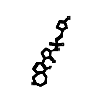 O=C1[C@@H](NS(=O)(=O)/C=C/C2CC=C(Cl)S2)CCN1c1ccc2c(c1F)CCCNC2